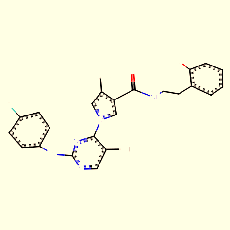 Cc1cn(-c2nc(Nc3ccc(F)cc3)ncc2C)cc1C(=O)NCCc1ccccc1O